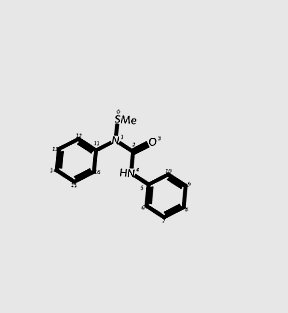 CSN(C(=O)Nc1ccccc1)c1ccccc1